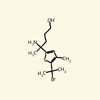 Cc1cc(C(C)(N)CCCO)sc1C(C)(C)Br